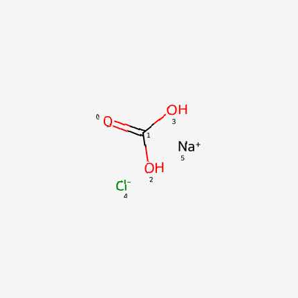 O=C(O)O.[Cl-].[Na+]